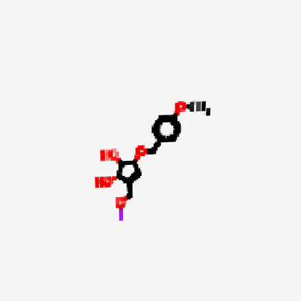 COc1ccc(CO[C@H]2C=C(COI)[C@H](O)C2O)cc1